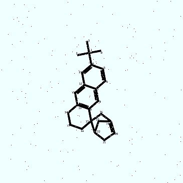 CC(C)(C)c1ccc2cc3c(cc2c1)CCCC31CC2=CCC1C2